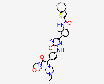 CCN1CCN(C(C(=O)N2CCOCC2)c2ccc(Nc3nc(-c4cccc(NC(=O)c5cc6c(s5)CCCCC6)c4C)cn(C)c3=O)cc2)CC1